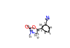 C[C@H]1[C@H](c2cccc(C#N)c2)OC(=O)N1C